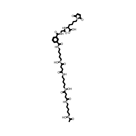 CC(=O)N(O)CCCCCNC(=O)CCC(=O)N(O)CCCCCNC(=O)CCC(=O)N(O)CCCCCNC(=O)c1cccc(C(=O)NCC(=O)NC(CCCCN2C(=O)C=CC2=O)C(=O)O)c1